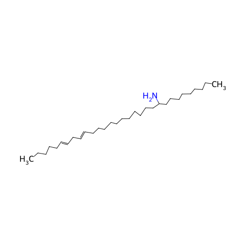 CCCCCC=CCC=CCCCCCCCCCCCC(N)CCCCCCCCC